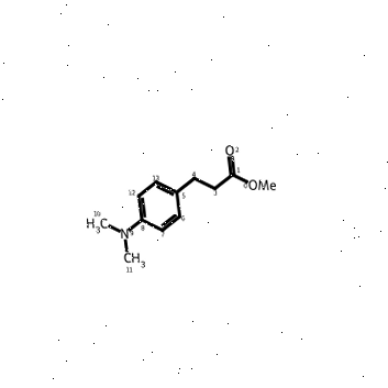 COC(=O)CCc1ccc(N(C)C)cc1